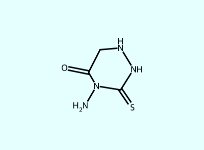 NN1C(=O)CNNC1=S